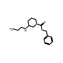 NCCNC1CCCN(C(=O)OCc2ccccc2)C1